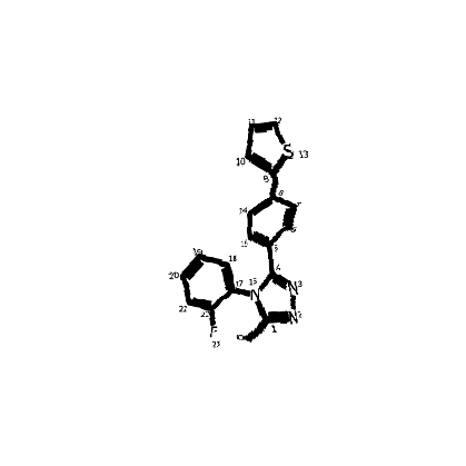 Cc1nnc(-c2ccc(-c3cccs3)cc2)n1-c1ccccc1F